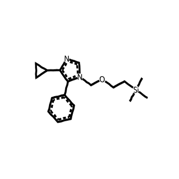 C[Si](C)(C)CCOCn1cnc(C2CC2)c1-c1ccccc1